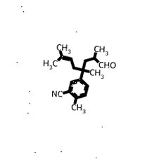 CC(C)=CCC(C)(CC(C)C=O)c1ccc(C)c(C#N)c1